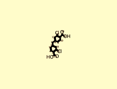 O=C(O)c1ccc(Cc2ccc(C(=O)O)c(Cl)c2)cc1Cl